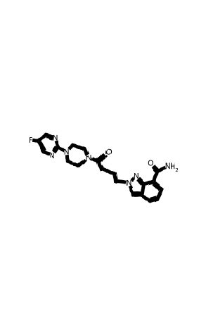 NC(=O)c1cccc2cn(CCCC(=O)N3CCN(c4ncc(F)cn4)CC3)nc12